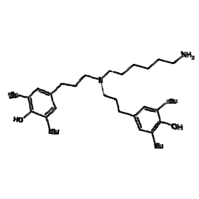 CC(C)(C)c1cc(CCCN(CCCCCCN)CCCc2cc(C(C)(C)C)c(O)c(C(C)(C)C)c2)cc(C(C)(C)C)c1O